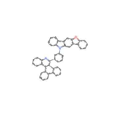 c1cc(-c2nc3ccccc3c3c4ccccc4c4ccccc4c23)cc(-n2c3ccccc3c3cc4oc5ccccc5c4cc32)c1